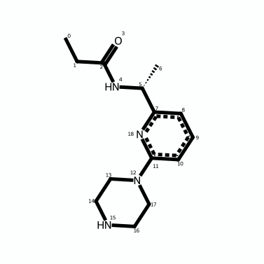 CCC(=O)N[C@H](C)c1cccc(N2CCNCC2)n1